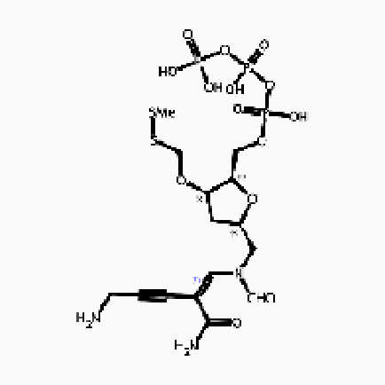 CSSCO[C@@H]1C[C@H](CN(C=O)/C=C(/C#CCN)C(N)=O)O[C@@H]1COP(=O)(O)OP(=O)(O)OP(=O)(O)O